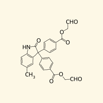 Cc1ccc2c(c1)C(c1ccc(C(=O)OCC=O)cc1)(c1ccc(C(=O)OCC=O)cc1)C(=O)N2